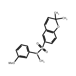 COc1cccc(N(C)S(=O)(=O)c2ccc3c(c2)C=CC(C)(C)O3)c1